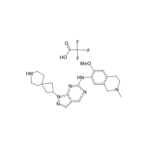 COc1cc2c(cc1Nc1ncc3cnn(C4CC5(CCNCC5)C4)c3n1)CN(C)CC2.O=C(O)C(F)(F)F